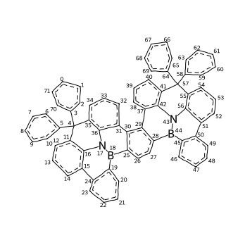 c1ccc(C2(c3ccccc3)c3cccc4c3N3B(c5ccccc5-4)c4ccc5c(c4-c4cccc2c43)-c2cccc3c2N2B5c4ccccc4-c4cccc(c42)C3(c2ccccc2)c2ccccc2)cc1